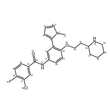 Cn1nccc1-c1cc(NC(=O)c2ccc(F)c(Cl)c2)ccc1OCCC1CCCCN1